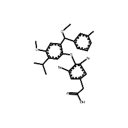 COc1cc(C(OC)c2cccc(C)c2)c(Oc2c(Br)cc(CC(=O)O)cc2Br)cc1C(C)C